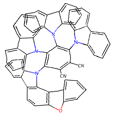 N#Cc1c(C#N)c(-n2c3ccccc3c3ccc4oc5ccccc5c4c32)c(-n2c3ccccc3c3ccccc32)c(-n2c3ccccc3c3ccccc32)c1-n1c2ccccc2c2ccccc21